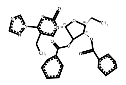 CCc1cn([C@@H]2O[C@H](CC)[C@H](OC(=O)c3ccccc3)C2OC(=O)c2ccccc2)c(=O)nc1-n1cncn1